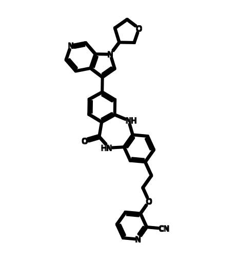 N#Cc1ncccc1OCCc1ccc2c(c1)NC(=O)c1ccc(-c3cn(C4CCOC4)c4cnccc34)cc1N2